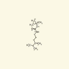 CC(C)[C@H](C)CCCNC(=O)OC(C)(C)C